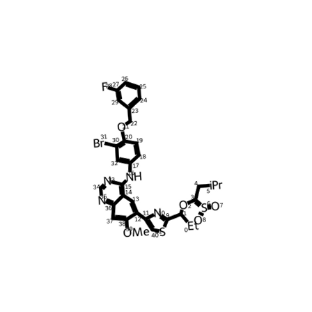 CCC(OC(CC(C)C)=S(=O)=O)c1nc(-c2cc3c(Nc4ccc(OCc5cccc(F)c5)c(Br)c4)ncnc3cc2OC)cs1